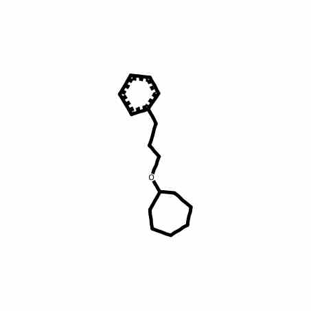 c1ccc(CCCOC2CCCCCC2)cc1